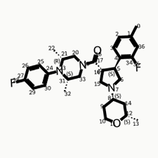 Cc1ccc([C@H]2CN([C@H]3CCO[C@@H](C)C3)C[C@@H]2C(=O)N2C[C@@H](C)N(c3ccc(F)cc3)[C@@H](C)C2)c(F)c1